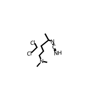 CC(CCCN(C)C)N=C=N.ClCCl